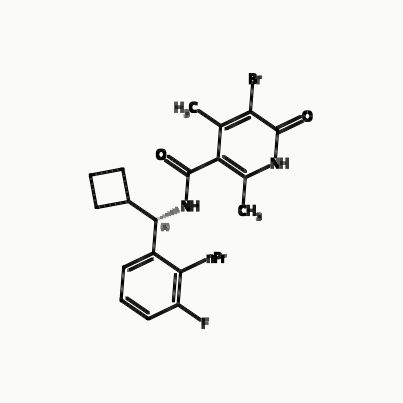 CCCc1c(F)cccc1[C@@H](NC(=O)c1c(C)[nH]c(=O)c(Br)c1C)C1CCC1